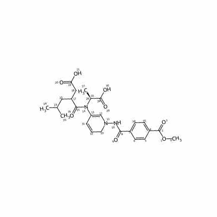 COC(=O)c1ccc(C(=O)NN2C=C(N(C(=O)C(CC(=O)O)CC(C)C)[C@@H](C)C(=O)O)C=CC2)cc1